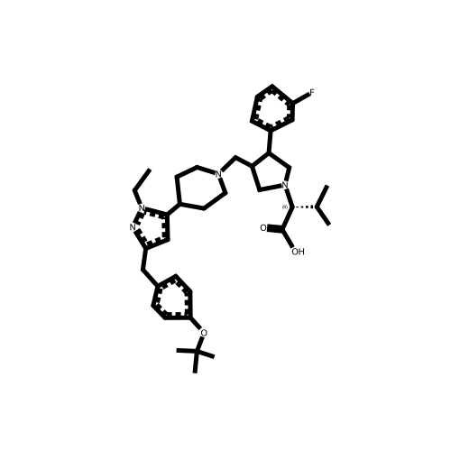 CCn1nc(Cc2ccc(OC(C)(C)C)cc2)cc1C1CCN(CC2CN([C@@H](C(=O)O)C(C)C)CC2c2cccc(F)c2)CC1